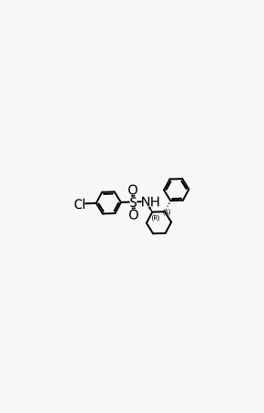 O=S(=O)(N[C@@H]1CCCC[C@H]1c1ccccc1)c1ccc(Cl)cc1